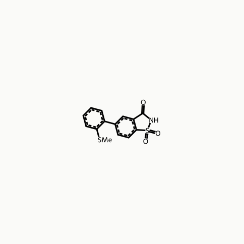 CSc1ccccc1-c1ccc2c(c1)C(=O)NS2(=O)=O